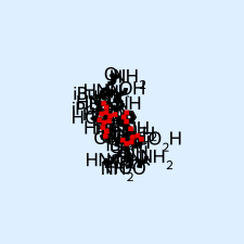 CC[C@H](C)[C@H](NC(=O)[C@H](Cc1ccccc1)NC(=O)[C@H](CC(=O)O)NC(=O)[C@H](CCCNC(=N)N)NC(=O)[C@@H](NC(=O)[C@H](C)N)[C@@H](C)O)C(=O)N[C@@H](C)C(=O)N[C@@H](Cc1c[nH]c2ccccc12)C(=O)N[C@@H](CC(C)C)C(=O)N[C@H](C(=O)N[C@@H](CCC(N)=O)C(=O)N[C@H](C(=O)N[C@@H](CCCCN)C(=O)N[C@H](C(=O)N[C@H](C(=O)N[C@@H](CC(=O)O)C(=O)O)[C@@H](C)O)[C@@H](C)CC)[C@@H](C)O)[C@@H](C)CC